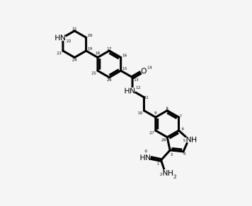 N=C(N)c1c[nH]c2ccc(CCNC(=O)c3ccc(C4CCNCC4)cc3)cc12